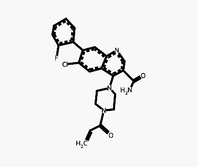 C=CC(=O)N1CCN(c2c(C(N)=O)cnc3cc(-c4ccccc4F)c(Cl)cc23)CC1